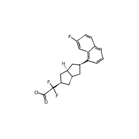 O=C(Cl)C(F)(F)[C@@H]1CC2C[C@H](c3ccnc4ccc(F)cc34)C[C@@H]2C1